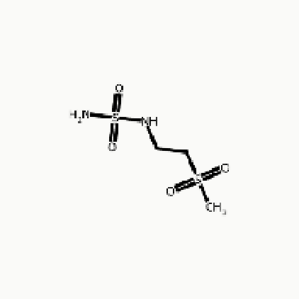 CS(=O)(=O)CCNS(N)(=O)=O